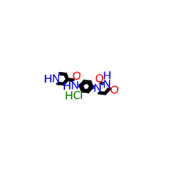 Cl.O=C1CCN(c2ccc(NC(=O)C3CCNCC3)cc2)C(=O)N1